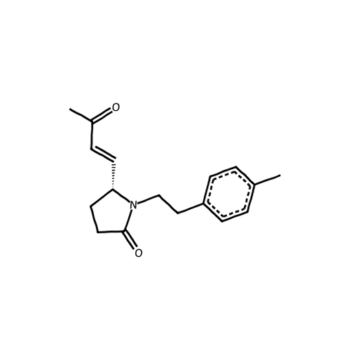 CC(=O)/C=C/[C@H]1CCC(=O)N1CCc1ccc(C)cc1